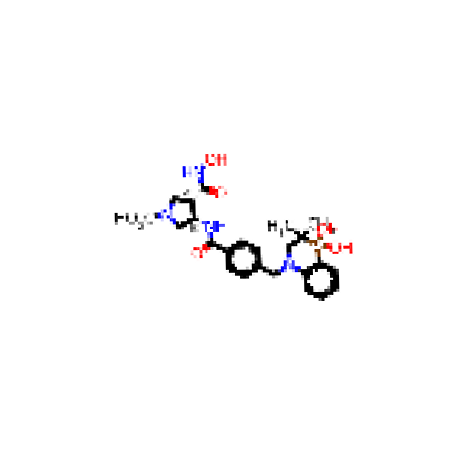 CC1(C)CN(Cc2ccc(C(=O)N[C@@H]3CN(C(=O)O)C[C@@H]3C(=O)NO)cc2)c2ccccc2S1(O)O